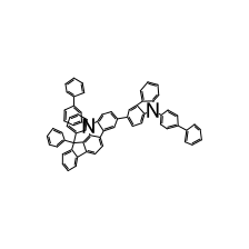 c1ccc(-c2ccc(-n3c4ccccc4c4cc(-c5ccc6c(c5)c5ccc7c(c5n6-c5cccc(-c6ccccc6)c5)C(c5ccccc5)(c5ccccc5)c5ccccc5-7)ccc43)cc2)cc1